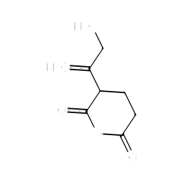 C=C(CC)C1CCC(=O)OC1=O